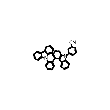 N#CC1C=CC=C(n2c3c(c4ccccc42)C(c2ccccc2N2C4=CC=CCC4c4ccccc42)=CCC3)C1